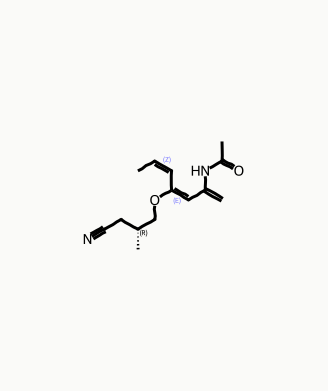 C=C(/C=C(\C=C/C)OC[C@H](C)CC#N)NC(C)=O